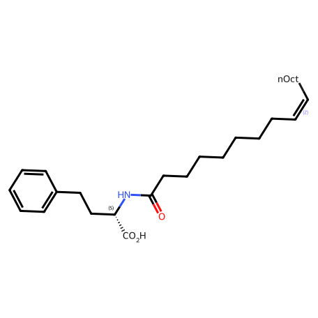 CCCCCCCC/C=C\CCCCCCCC(=O)N[C@@H](CCc1ccccc1)C(=O)O